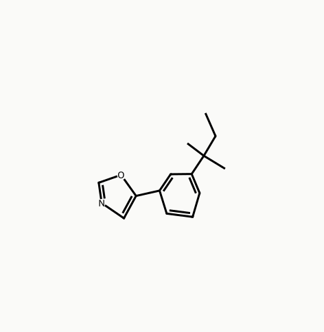 CCC(C)(C)c1cccc(-c2cnco2)c1